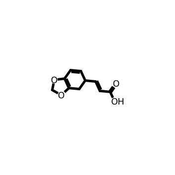 O=C(O)C=CC1C=CC2=C(C1)OCO2